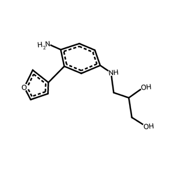 Nc1ccc(NCC(O)CO)cc1-c1ccoc1